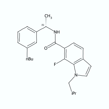 CCCCc1cccc([C@H](C)NC(=O)c2ccc3ccn(CC(C)C)c3c2F)c1